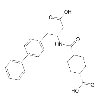 O=C(O)C[C@@H](Cc1ccc(-c2ccccc2)cc1)NC(=O)[C@H]1CC[C@@H](C(=O)O)CC1